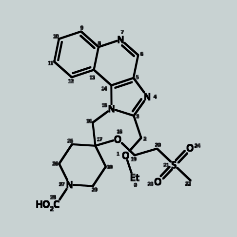 CCOCc1nc2cnc3ccccc3c2n1CC1(OCCS(C)(=O)=O)CCN(C(=O)O)CC1